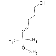 CCCC/C=C/C(C)(C)O[SiH3]